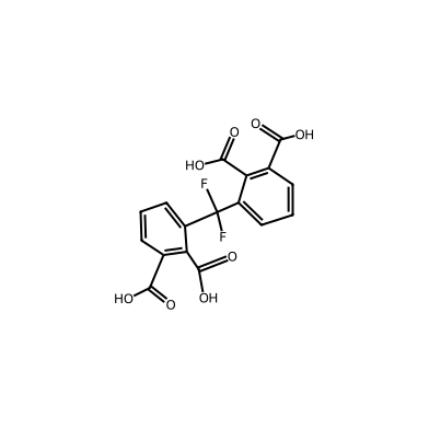 O=C(O)c1cccc(C(F)(F)c2cccc(C(=O)O)c2C(=O)O)c1C(=O)O